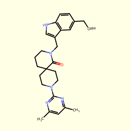 COCc1ccc2[nH]cc(CN3CCCC4(CCN(c5nc(C)cc(C)n5)CC4)C3=O)c2c1